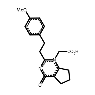 COc1ccc(CCc2nc(=O)c3c(n2CC(=O)O)CCC3)cc1